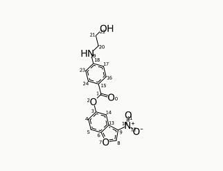 O=C(Oc1ccc2occ([N+](=O)[O-])c2c1)c1ccc(NCCO)cc1